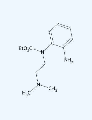 CCOC(=O)N(CCN(C)C)c1ccccc1N